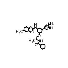 Cc1ccc2nc(Nc3cc(OC[C@@H](C)NC(=O)c4cccnc4)cc(C4=CN(C)NC4)c3)ncc2c1